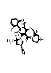 CC1(C)CC(C#N)CN1c1nc(-c2c(O)cccc2F)c(F)c2c1C(=O)N1CCNC[C@@H]1CO2